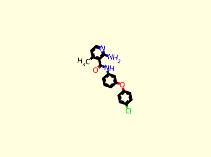 Cc1ccnc(N)c1C(=O)Nc1cccc(Oc2ccc(Cl)cc2)c1